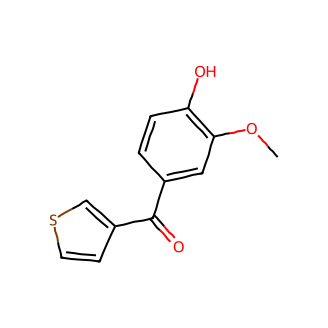 COc1cc(C(=O)c2ccsc2)ccc1O